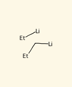 [Li][CH2]C.[Li][CH2]CC